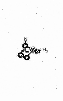 Cn1cc(S(=O)(=O)N2Cc3cc(C#N)ccc3N(Cc3cccnc3)C[C@H]2Cc2ccccc2)cn1